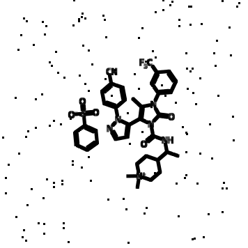 Cc1c(-c2ccnn2-c2ccc(C#N)cc2)n(C(=O)NC(C)C2CC[N+](C)(C)CC2)c(=O)n1-c1cccc(C(F)(F)F)c1.O=S(=O)([O-])c1ccccc1